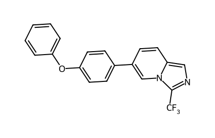 FC(F)(F)c1ncc2ccc(-c3ccc(Oc4ccccc4)cc3)cn12